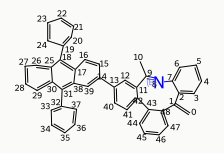 C=C1c2ccccc2/N=C(\C)c2cc(-c3ccc4c(-c5ccccc5)c5ccccc5c(-c5ccccc5)c4c3)ccc2-c2ccccc21